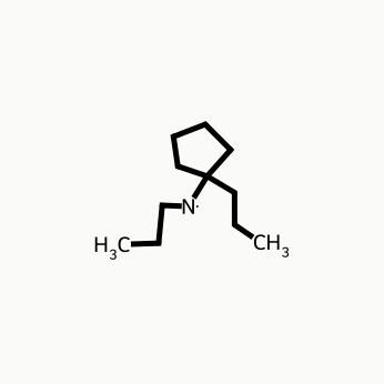 CCC[N]C1(CCC)CCCC1